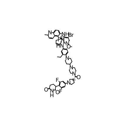 CCc1cc(Nc2ncc(Br)c(Nc3ccc4nc(C)ccc4c3P3(=O)CC=CC3)n2)c(OC)cc1N1CCC(N2CCN(C(=O)[C@@H]3CCN(c4cc(F)c(C5CCC(=O)NC5=O)c(F)c4)C3)CC2)CC1